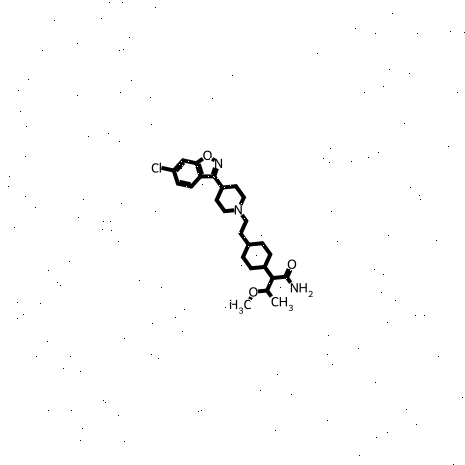 COC(C)C(C(N)=O)C1CCC(CCN2CCC(c3noc4cc(Cl)ccc34)CC2)CC1